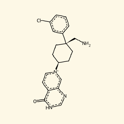 NC[C@]1(c2cccc(Cl)c2)CC[C@H]([n+]2ccc3c(=O)[nH]cnc3c2)CC1